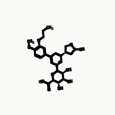 CCCOc1cc(C2=C[N+](C3O[C@H](C(=O)O)[C@@H](O)[C@H](O)[C@H]3O)=CC([C@@H]3COB(O)C3)C2)ccc1OC